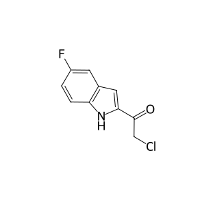 O=C(CCl)c1cc2cc(F)ccc2[nH]1